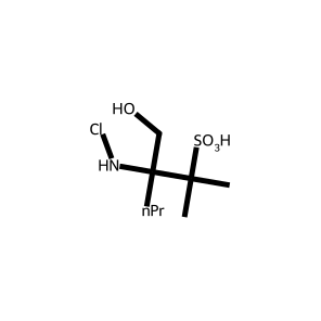 CCCC(CO)(NCl)C(C)(C)S(=O)(=O)O